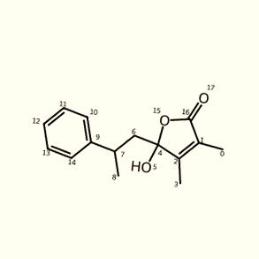 CC1=C(C)C(O)(CC(C)c2ccccc2)OC1=O